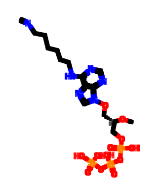 C=NCCCCCCNc1ncnc2c1ncn2OC[C@@H](COP(=O)(O)OP(=O)(O)OP(=O)(O)O)OC